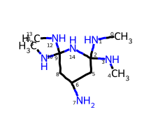 CNC1(NC)CC(N)CC(NC)(NC)N1